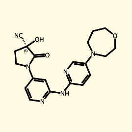 N#C[C@@]1(O)CCN(c2ccnc(Nc3ccc(N4CCCOCC4)cn3)c2)C1=O